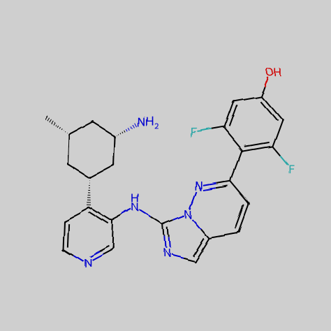 C[C@@H]1C[C@H](N)C[C@H](c2ccncc2Nc2ncc3ccc(-c4c(F)cc(O)cc4F)nn23)C1